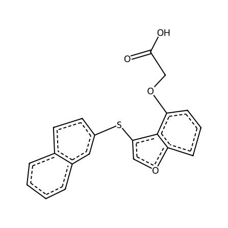 O=C(O)COc1cccc2occ(Sc3ccc4ccccc4c3)c12